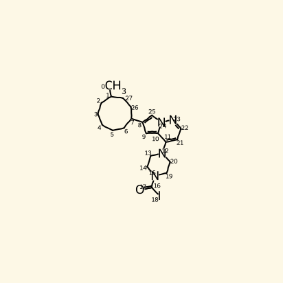 CC1CCCCCC(c2cc3c(N4CCN(C(=O)I)CC4)ccnn3c2)CC1